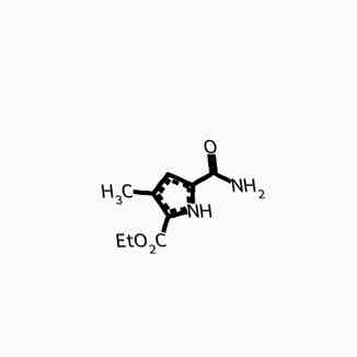 CCOC(=O)c1[nH]c(C(N)=O)cc1C